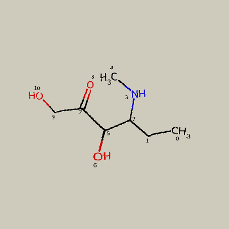 CCC(NC)C(O)C(=O)CO